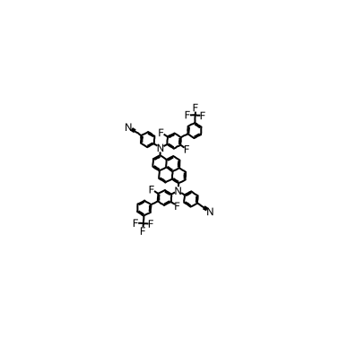 N#Cc1ccc(N(c2cc(F)c(-c3cccc(C(F)(F)F)c3)cc2F)c2ccc3ccc4c(N(c5ccc(C#N)cc5)c5cc(F)c(-c6cccc(C(F)(F)F)c6)cc5F)ccc5ccc2c3c54)cc1